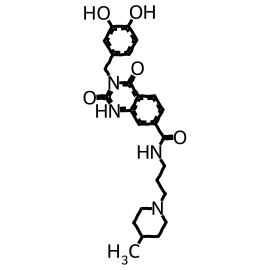 CC1CCN(CCCNC(=O)c2ccc3c(=O)n(Cc4ccc(O)c(O)c4)c(=O)[nH]c3c2)CC1